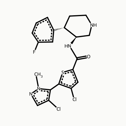 Cn1ncc(Cl)c1-c1sc(C(=O)N[C@@H]2CNCC[C@H]2c2cccc(F)c2)cc1Cl